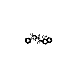 O=C(NC1=NN(c2ccccc2)C(=O)C1)c1ccc2ccccc2c1O